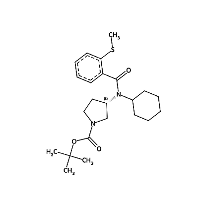 CSc1ccccc1C(=O)N(C1CCCCC1)[C@H]1CCN(C(=O)OC(C)(C)C)C1